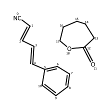 N#CC=CC=Cc1ccccc1.O=C1CCCCCO1